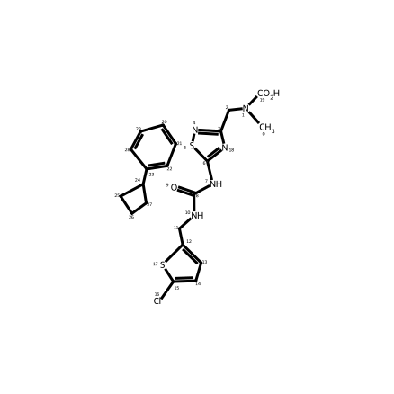 CN(Cc1nsc(NC(=O)NCc2ccc(Cl)s2)n1)C(=O)O.c1ccc(C2CCC2)cc1